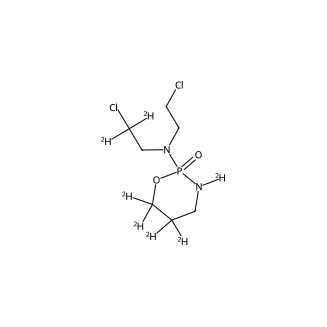 [2H]N1CC([2H])([2H])C([2H])([2H])OP1(=O)N(CCCl)CC([2H])([2H])Cl